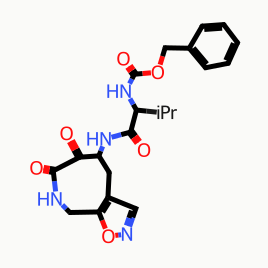 CC(C)C(NC(=O)OCc1ccccc1)C(=O)NC1Cc2cnoc2CNC(=O)C1=O